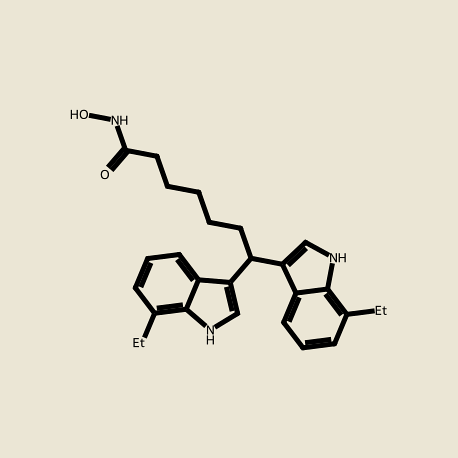 CCc1cccc2c(C(CCCCCC(=O)NO)c3c[nH]c4c(CC)cccc34)c[nH]c12